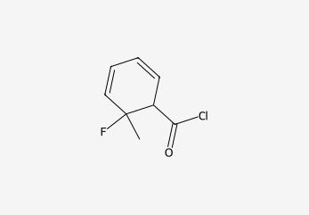 CC1(F)C=CC=CC1C(=O)Cl